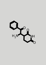 NC(C(=O)c1ccccc1)C1CCC(=O)NC1=O